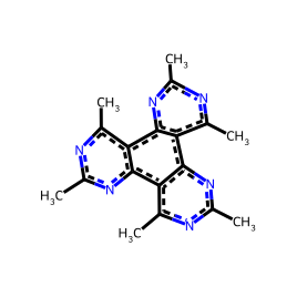 Cc1nc(C)c2c(n1)c1c(C)nc(C)nc1c1c(C)nc(C)nc21